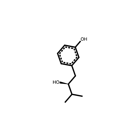 CC(C)[C@@H](O)Cc1cccc(O)c1